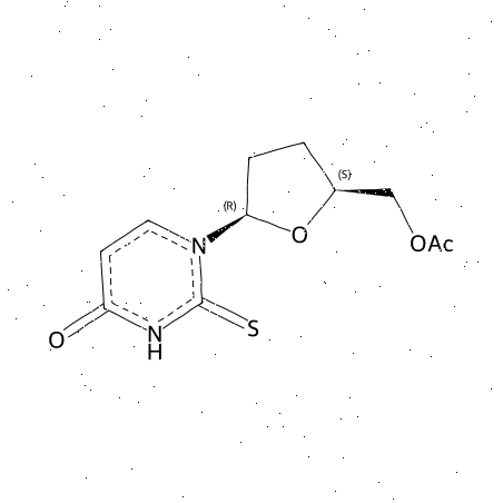 CC(=O)OC[C@@H]1CC[C@H](n2ccc(=O)[nH]c2=S)O1